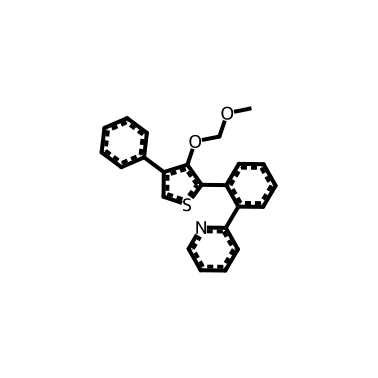 COCOc1c(-c2ccccc2)csc1-c1ccccc1-c1ccccn1